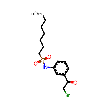 CCCCCCCCCCCCCCCCS(=O)(=O)Nc1cccc(C(=O)CBr)c1